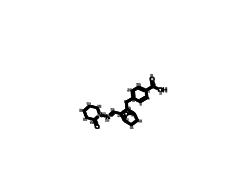 O=C(O)c1ccc(CC2C3CCC(O3)C2C=NN2CCCCC2=O)cc1